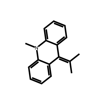 CC(C)=C1c2ccccc2N(C)c2ccccc21